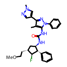 COCC[C@@H]1C[C@@H](NC(=O)Nc2c(C)c(-c3cnn(C)c3)nn2-c2ccccc2)[C@H](c2ccccc2)[C@H]1F